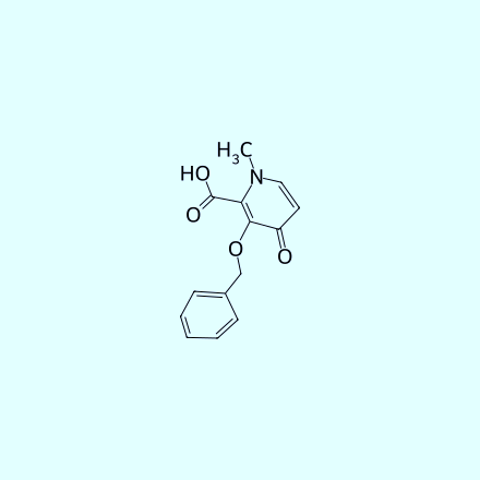 Cn1ccc(=O)c(OCc2ccccc2)c1C(=O)O